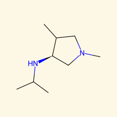 CC(C)N[C@@H]1CN(C)CC1C